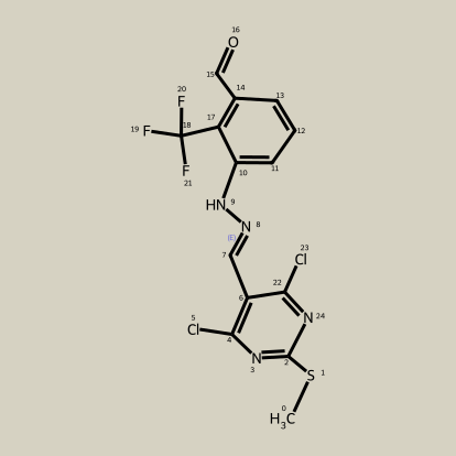 CSc1nc(Cl)c(/C=N/Nc2cccc(C=O)c2C(F)(F)F)c(Cl)n1